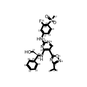 CC(C)c1noc(-c2cnc(Nc3ccc(S(C)(=O)=O)c(F)c3)nc2N[C@H](CO)c2ccccc2)n1